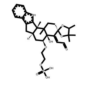 CC1O[C@@]2(CCC3(C)[C@@]4(C)c5[nH]c6ccccc6c5C[C@@H]4C[C@H](OCCOP(=O)(O)O)[C@@]3(O)/C2=C/C=O)OC1(C)C